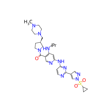 CC(C)Nc1cc(Nc2ccnc(-c3cnn(S(=O)(=O)C4CC4)c3)n2)ncc1C(=O)N1CC[C@@H](CN2CCN(C)CC2)C1